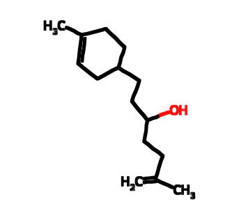 C=C(C)CCC(O)CCC1CC=C(C)CC1